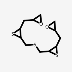 C1OC1CC1SC1CSCC1SC1CC1CO1